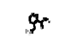 N[CH]c1ccnnc1C(N)=O